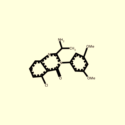 COc1cc(OC)cc(-n2c(C(C)N)nc3cccc(Cl)c3c2=O)c1